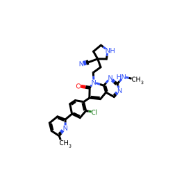 CNc1ncc2cc(-c3ccc(-c4cccc(C)n4)cc3Cl)c(=O)n(CCC3(C#N)CCNC3)c2n1